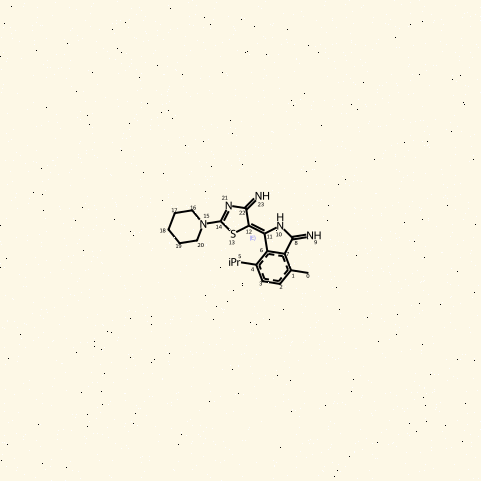 Cc1ccc(C(C)C)c2c1C(=N)N/C2=C1/SC(N2CCCCC2)=NC1=N